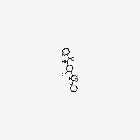 CC1(c2nc(-c3ccc(NC(=O)c4ccccn4)cc3Cl)no2)C=CC=CC1